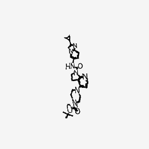 CC(C)(C)OC(=O)N1CCN(c2ccnc3c2CCN3C(=O)Nc2ccc3nc(C4CC4)cn3c2)CC1